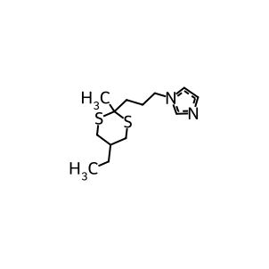 CCC1CSC(C)(CCCn2ccnc2)SC1